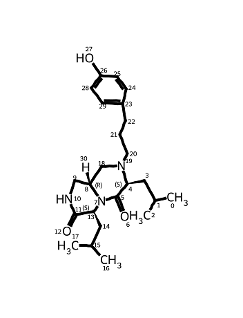 CC(C)C[C@H]1C(=O)N2[C@H](CNC(=O)[C@@H]2CC(C)C)CN1CCCc1ccc(O)cc1